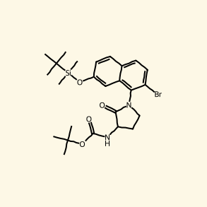 CC(C)(C)OC(=O)NC1CCN(c2c(Br)ccc3ccc(O[Si](C)(C)C(C)(C)C)cc23)C1=O